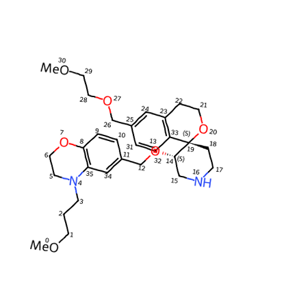 COCCCN1CCOc2ccc(CO[C@H]3CNCC[C@@]34OCCc3cc(COCCOC)ccc34)cc21